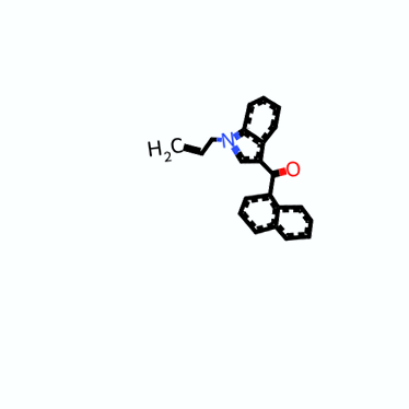 C=CCn1cc(C(=O)c2cccc3ccccc23)c2ccccc21